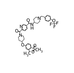 Cc1cc(OC2CCN(C(=O)c3ccc(C(=O)NC4CCN(Cc5ccc(OC(F)(F)F)cc5)CC4)cn3)CC2)ccc1S(C)(=O)=O